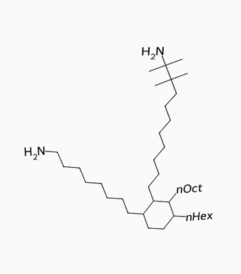 CCCCCCCCC1C(CCCCCC)CCC(CCCCCCCCN)C1CCCCCCCCC(C)(C)C(C)(C)N